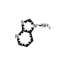 N[n+]1csc2ncccc21